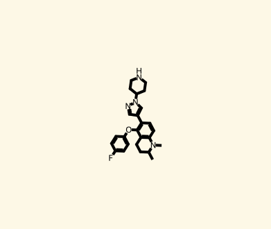 CC1CCc2c(ccc(-c3cnn(C4CCNCC4)c3)c2Oc2ccc(F)cc2)N1C